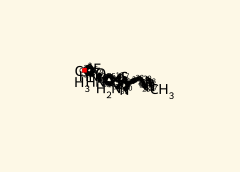 Cc1ccc(F)c(NC(=O)Nc2ccc(-c3csc4c(C#CCN5CCN(C)CC5)cnc(N)c34)cc2)c1